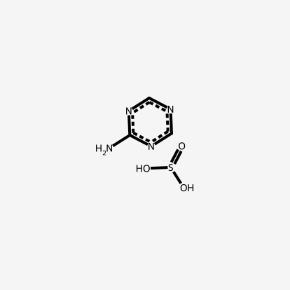 Nc1ncncn1.O=S(O)O